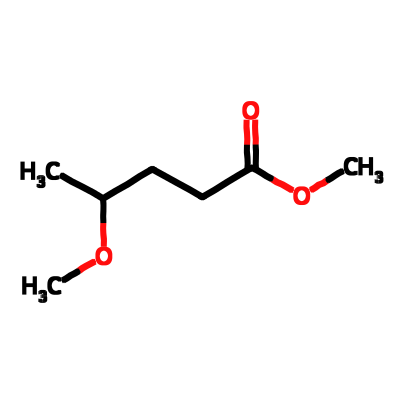 COC(=O)CCC(C)OC